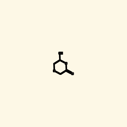 O=C1COCC(O)O1